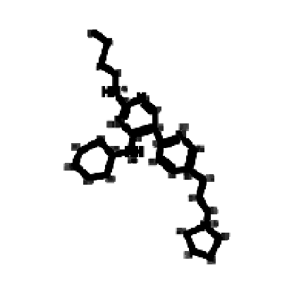 CCCCNc1ncc(-c2ccc(CCCN3CCCC3)cn2)c(NC2CCCCC2)n1